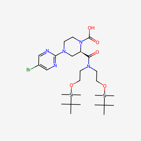 CC(C)(C)[Si](C)(C)OCCN(CCO[Si](C)(C)C(C)(C)C)C(=O)[C@H]1CN(c2ncc(Br)cn2)CCN1C(=O)O